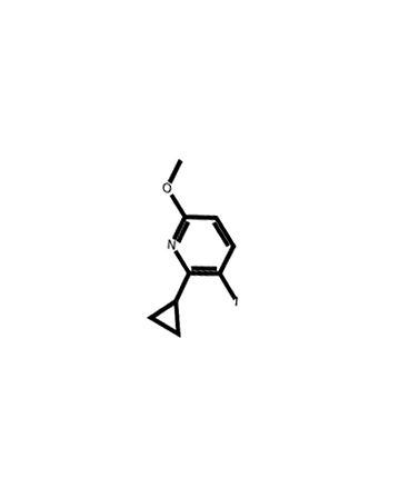 COc1ccc(I)c(C2CC2)n1